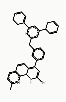 Cc1ccc2c(n1)C1NC(C(C)C)=CC(c3cccc(Cc4cc(C5C=CC=CC5)cc(C5=CC=CCC5)n4)c3)=C1C=C2